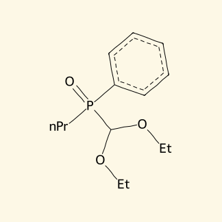 CCCP(=O)(c1ccccc1)C(OCC)OCC